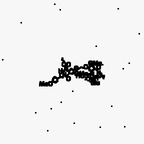 C=CCOC(=O)N1C[C@@H]2CC(c3ccc(OC)cc3)=CN2C(=O)c2cc(OC)c(OCCCOc3cc4c(cc3OC)C(=O)N3CC5(CC5)C[C@H]3C(O[Si](C)(C)C(C)(C)C)N4C(=O)O)cc21